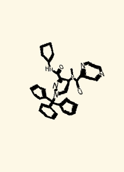 CN(C(=O)c1cnccn1)c1cn(C(c2ccccc2)(c2ccccc2)c2ccccc2)nc1C(=O)NC1CCCC1